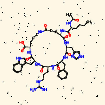 CCCC[C@H](NC(C)=O)C(=O)N[C@H]1CCC(=O)NCCC[C@@H](C(=O)O)NC(=O)[C@H](Cc2c[nH]c3ccccc23)NC(=O)[C@H](CCCNC(=N)N)NC(=O)C(Cc2ccccc2)NC(=O)[C@H](Cc2c[nH]cn2)NC1=O